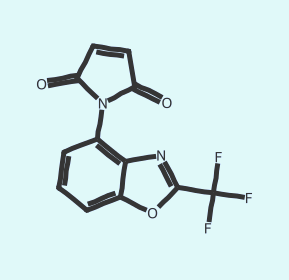 O=C1C=CC(=O)N1c1cccc2oc(C(F)(F)F)nc12